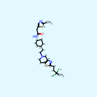 Cc1ncc(CC(=O)N[C@H]2CC[C@H](CCN3CCc4sc(CCC(C)(F)F)nc4C3)CC2)s1